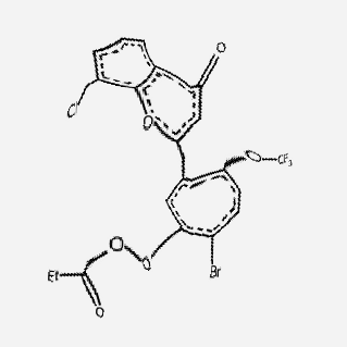 CCC(=O)OOc1cc(-c2cc(=O)c3cccc(Cl)c3o2)c(OC(F)(F)F)cc1Br